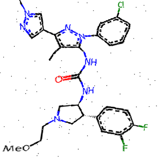 COCCN1C[C@@H](NC(=O)Nc2c(C)c(-c3cnn(C)c3)nn2-c2cccc(Cl)c2)[C@H](c2ccc(F)c(F)c2)C1